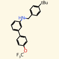 CC(C)(C)c1ccc(CNc2cccc(-c3ccc(OC(F)(F)F)cc3)c2)cc1